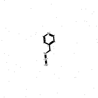 [N-]=[N+]=NCc1ccncc1